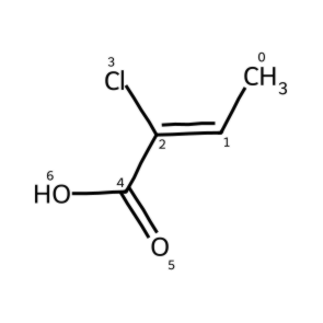 C/C=C(\Cl)C(=O)O